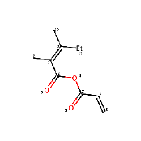 C=CC(=O)OC(=O)C(C)=C(C)CC